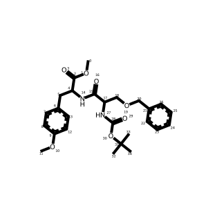 COC(=O)C(Cc1ccc(OC)cc1)NC(=O)C(COCc1ccccc1)NC(=O)OC(C)(C)C